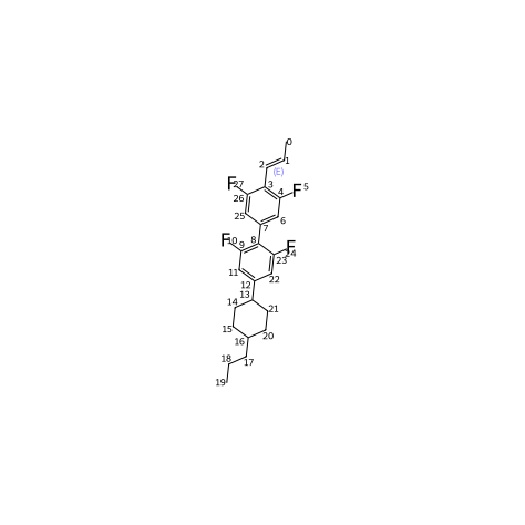 C/C=C/c1c(F)cc(-c2c(F)cc(C3CCC(CCC)CC3)cc2F)cc1F